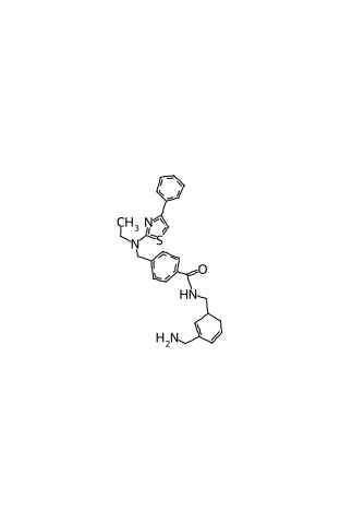 CCN(Cc1ccc(C(=O)NCC2C=C(CN)C=CC2)cc1)c1nc(-c2ccccc2)cs1